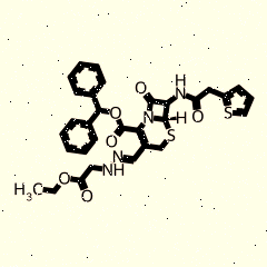 CCOC(=O)CNN=CC1=C(C(=O)OC(c2ccccc2)c2ccccc2)N2C(=O)C(NC(=O)Cc3cccs3)[C@@H]2SC1